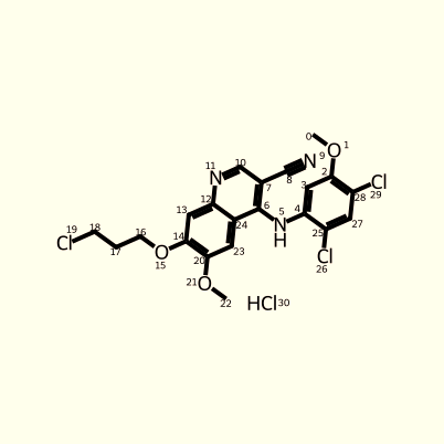 COc1cc(Nc2c(C#N)cnc3cc(OCCCCl)c(OC)cc23)c(Cl)cc1Cl.Cl